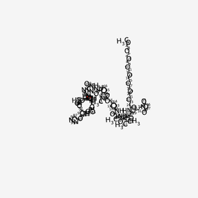 COCCOCCOCCOCCOCCOCCOCCOCCC(=O)N[C@@H](CCCCN1C(=O)C=CC1=O)C(=O)N[C@H](C(=O)N[C@@H](C)C(=O)Nc1ccc(COC(=O)N(C)Cc2ccccc2C(=O)Nc2nc3c(ncn3[C@@H]3O[C@H]4CO[P+](=O)O[C@H]5C[C@H](Oc6ccncn6)CC5CO[P@@](=O)(S)O[C@@H]3[C@@H]4O)c(=O)[nH]2)cc1)C(C)C